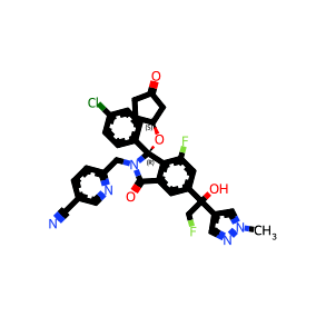 Cn1cc(C(O)(CF)c2cc(F)c3c(c2)C(=O)N(Cc2ccc(C#N)cn2)[C@@]3(O[C@H]2CCC(=O)C2)c2ccc(Cl)cc2)cn1